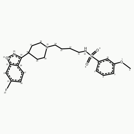 COc1cccc(S(=O)(=O)NCCCCN2CCC(c3noc4cc(F)ccc34)CC2)c1